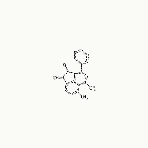 Cc1ccc2c3c(c(-c4ccccc4)cc(C)c13)C(=O)C2=O